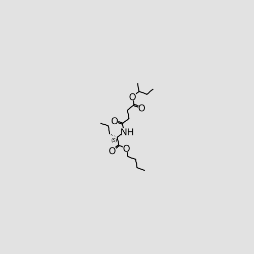 CCCCOC(=O)[C@H](CCC)NC(=O)CCC(=O)OC(C)CC